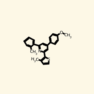 COc1ccc(-c2cc(-c3ccccc3C)nc(-c3sccc3C)c2)cc1